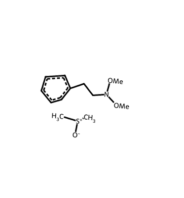 CON(CCc1ccccc1)OC.C[S+](C)[O-]